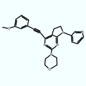 COc1cccc(C#Cc2nc(N3CCOCC3)nc3c2CCN3c2cccnc2)c1